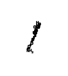 NCCOCCOCCOCCCc1ccc2c(c1)CN(C1CCC(=O)NC1=O)C2